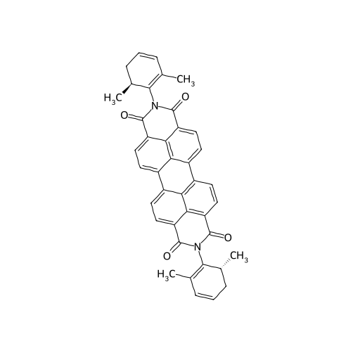 CC1=C(N2C(=O)c3ccc4c5ccc6c7c(ccc(c8ccc(c3c48)C2=O)c75)C(=O)N(C2=C(C)C=CC[C@@H]2C)C6=O)[C@H](C)CC=C1